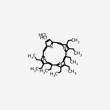 CCC1=C(CC)C2=NC1=CC1=NC(=CC3=NC(=C(CC)C4=NC(=C2CC)C(CC)=C4CC)C(CC)=C3CC)C=C1.Cl.Cl